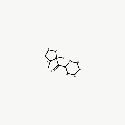 CN1CCCC1(C)C(=O)C1CCCCO1